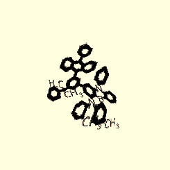 Cc1ccc2c(c1)B1c3ccccc3N(c3ccccc3)c3cc(-c4cc(-c5c6ccccc6c(-c6ccccc6)c6ccccc56)cc(C(C)(C)c5ccccc5)c4)cc(c31)N2C1C=CC=CC1C